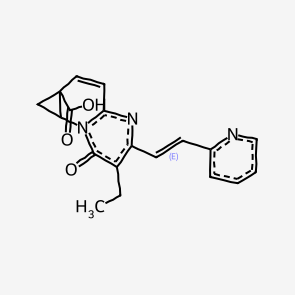 CCc1c(/C=C/c2ccccn2)nc2n(c1=O)C1CC1(C(=O)O)C=C2